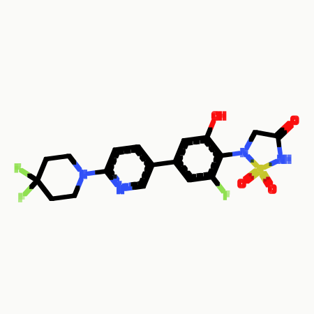 O=C1CN(c2c(O)cc(-c3ccc(N4CCC(F)(F)CC4)nc3)cc2F)S(=O)(=O)N1